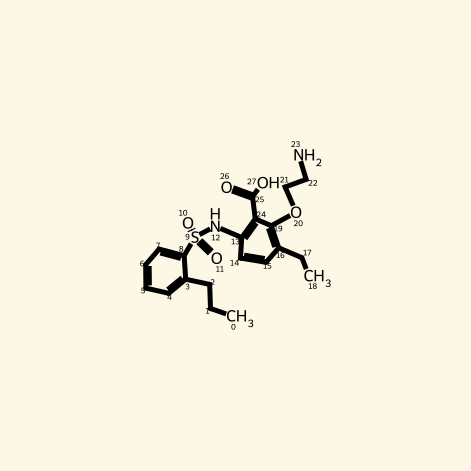 CCCc1ccccc1S(=O)(=O)Nc1ccc(CC)c(OCCN)c1C(=O)O